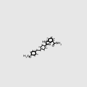 COc1ccc(CCN2CCC(c3nc4c(C(N)=O)cccc4[nH]3)CC2)cc1